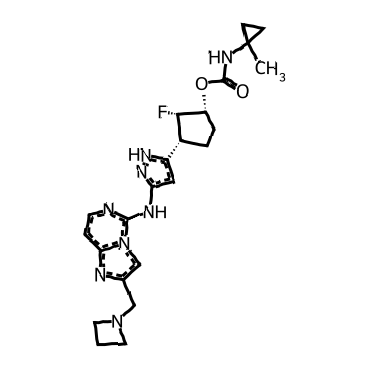 CC1(NC(=O)O[C@@H]2CC[C@H](c3cc(Nc4nccc5nc(CN6CCC6)cn45)n[nH]3)[C@@H]2F)CC1